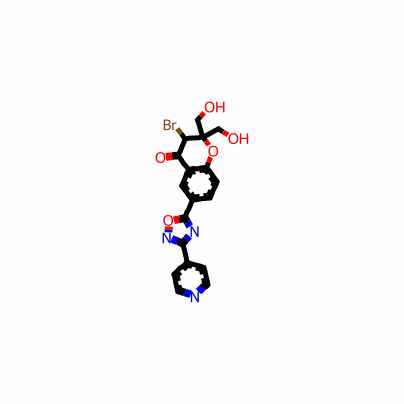 O=C1c2cc(-c3nc(-c4ccncc4)no3)ccc2OC(CO)(CO)C1Br